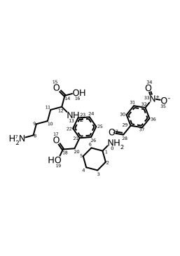 NC1CCCCC1.NCCCCC(N)C(=O)O.O=C(O)Cc1ccccc1.O=Cc1ccc([N+](=O)[O-])cc1